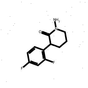 NN1CCCC(c2ccc(F)cc2F)C1=O